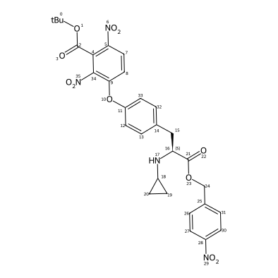 CC(C)(C)OC(=O)c1c([N+](=O)[O-])ccc(Oc2ccc(C[C@H](NC3CC3)C(=O)OCc3ccc([N+](=O)[O-])cc3)cc2)c1[N+](=O)[O-]